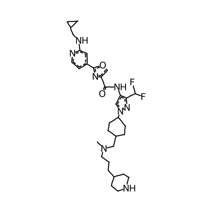 CN(CCCC1CCNCC1)CC1CCC(n2cc(NC(=O)c3coc(-c4ccnc(NCC5CC5)c4)n3)c(C(F)F)n2)CC1